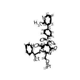 CC[C@@H](c1ccccc1)n1c(COC(C)C)nc(=O)c(S(=O)(=O)c2ccc(-c3cccnc3C)cc2)c1O